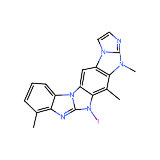 Cc1cccc2c1nc1n(I)c3c(C)c4c(cc3n21)n1ccnc1n4C